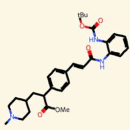 COC(=O)C(CC1CCN(C)CC1)c1ccc(/C=C/C(=O)Nc2ccccc2NC(=O)OC(C)(C)C)cc1